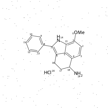 COc1ccc2c3c(c(-c4ccccc4)[nH]c13)CCC2N.Cl